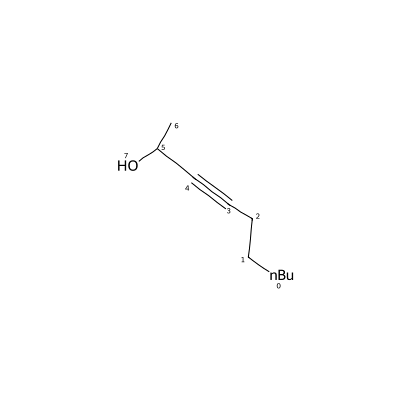 CCCCCCC#CC(C)O